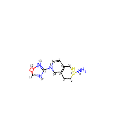 N[SH]1CCC2=C(C=CN(c3ncon3)C2)C1